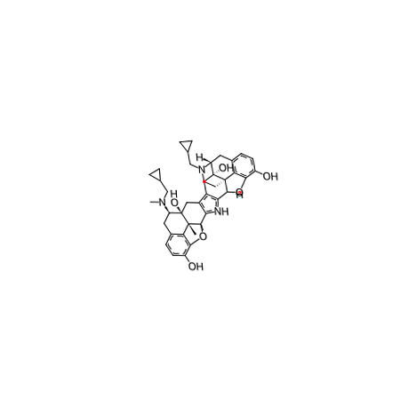 CN(CC1CC1)[C@@H]1Cc2ccc(O)c3c2[C@@]2(C)C(C)(O3)c3[nH]c4c(c3C[C@@]12O)C[C@@]1(O)[C@H]2Cc3ccc(O)c5c3[C@@]1(CCN2CC1CC1)[C@H]4O5